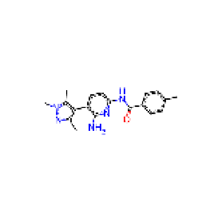 Cc1ccc(C(=O)Nc2ccc(-c3c(C)nn(C)c3C)c(N)n2)cc1